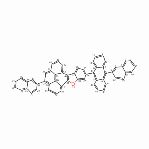 c1ccc2cc(-c3c4ccccc4c(-c4ccc5c(c4)oc4c6cccc7c(-c8ccc9ccccc9c8)cc8cccc(c54)c8c76)c4ccccc34)ccc2c1